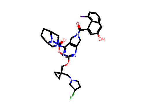 CC(C)(C)OC(=O)N1C2CCC1CN(c1nc(OCC3(CN4CC[C@@H](F)C4)CC3)nc3c1CN(C(=O)c1cc(O)cc4cccc(I)c14)C3)C2